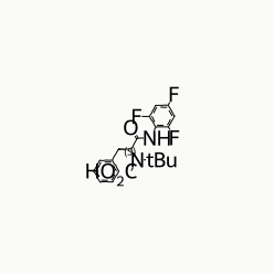 CC(C)(C)N(C(=O)O)[C@@H](Cc1ccccc1)C(=O)Nc1c(F)cc(F)cc1F